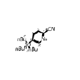 CCC[CH2][Sn]([CH2]CCC)([CH2]CCC)[c]1ccc(C#N)nc1